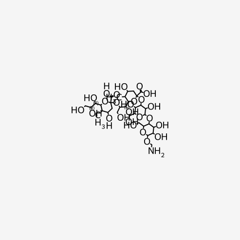 CC1C(O)CC(OC2C(O)C(CO)OC(OC3C(CO)OC(OCN)C(O)C3O)C2O)(C(=O)O)OC1[C@H](O)C(CO)OC1(C(=O)O)CC(O)C(C)C([C@H](O)[C@H](O)CO)O1